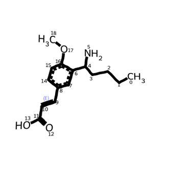 CCCCC(N)c1cc(/C=C/C(=O)O)ccc1OC